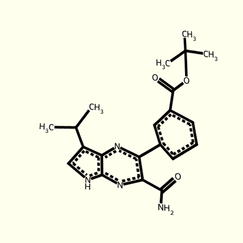 CC(C)c1c[nH]c2nc(C(N)=O)c(-c3cccc(C(=O)OC(C)(C)C)c3)nc12